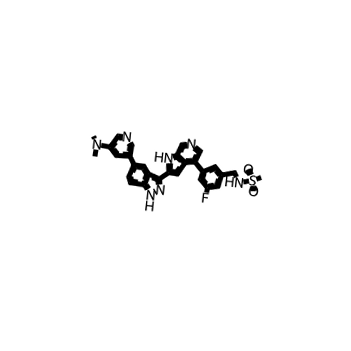 CN(C)c1cncc(-c2ccc3[nH]nc(-c4cc5c(-c6cc(F)cc(CNS(C)(=O)=O)c6)cncc5[nH]4)c3c2)c1